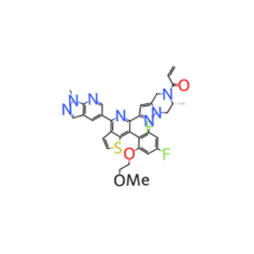 C=CC(=O)N1Cc2cc(-c3nc(-c4cnc5c(cnn5C)c4)c4ccsc4c3-c3c(F)cc(F)cc3OCCOC)nn2C[C@H]1C